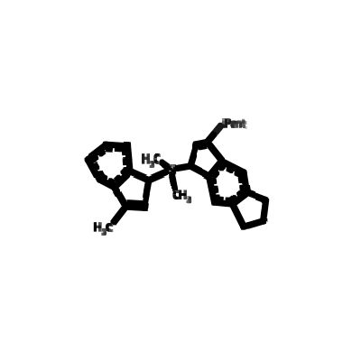 CCCC(C)C1=CC([Si](C)(C)C2C=C(C)c3ccccc32)c2cc3c(cc21)CCC3